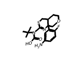 CC(C)(C)N(C(=O)O)C1=NC2(c3cc(N)ccc3F)COCCC2CS1